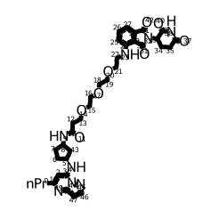 CCCc1cc(N[C@@H]2CCC(NC(=O)CCOCCOCCOCCNc3cccc4c3C(=O)N(C3CCC(=O)NC3=O)C4=O)C2)n2nccc2n1